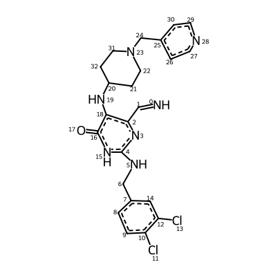 N=Cc1nc(NCc2ccc(Cl)c(Cl)c2)[nH]c(=O)c1NC1CCN(Cc2ccncc2)CC1